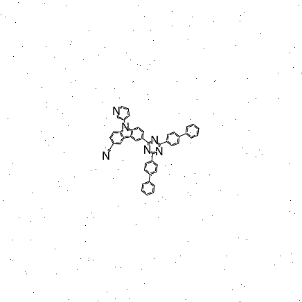 N#Cc1ccc2c(c1)c1cc(-c3nc(-c4ccc(-c5ccccc5)cc4)nc(-c4ccc(-c5ccccc5)cc4)n3)ccc1n2-c1cccnc1